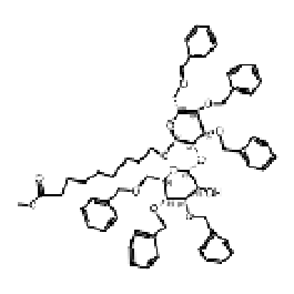 COC(=O)CCCCCCCCO[C@H]1O[C@H](COCc2ccccc2)[C@@H](OCc2ccccc2)[C@H](OCc2ccccc2)[C@@H]1O[C@H]1O[C@H](COCc2ccccc2)[C@@H](OCc2ccccc2)[C@H](OCc2ccccc2)[C@@H]1O